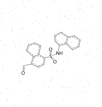 O=Cc1ccc(S(=O)(=O)Nc2cccc3ccccc23)c2ccccc12